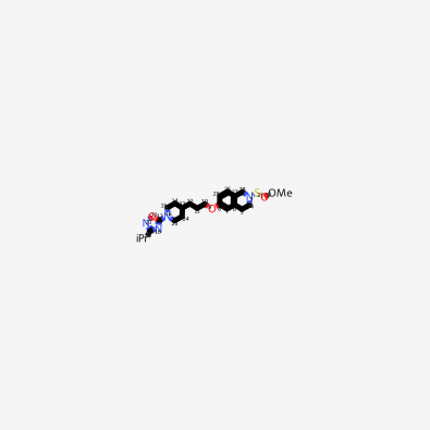 COOSN1CCc2cc(OCCCC3CCN(c4nc(C(C)C)no4)CC3)ccc2C1